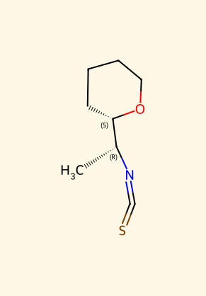 C[C@@H](N=C=S)[C@@H]1CCCCO1